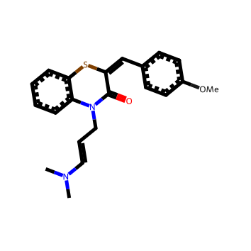 COc1ccc(C=C2Sc3ccccc3N(CC=CN(C)C)C2=O)cc1